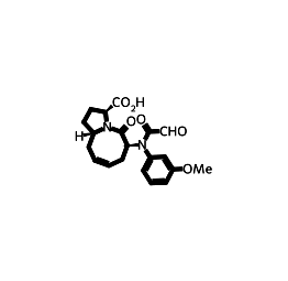 COc1cccc(N(C(=O)C=O)[C@H]2C/C=C\C[C@@H]3CC[C@@H](C(=O)O)N3C2=O)c1